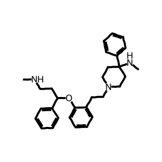 CNCCC(Oc1ccccc1CCN1CCC(NC)(c2ccccc2)CC1)c1ccccc1